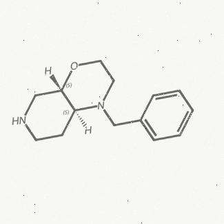 c1ccc(CN2CCO[C@H]3CNCC[C@@H]32)cc1